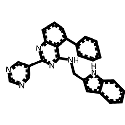 c1ccc(-c2cccc3nc(-c4cncnc4)nc(NCc4cc5ccccc5[nH]4)c23)cc1